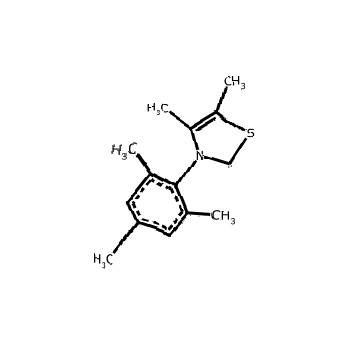 CC1=C(C)N(c2c(C)cc(C)cc2C)[C]S1